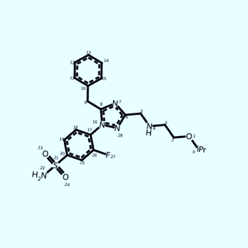 CC(C)OCCNCc1nc(Cc2ccccc2)n(-c2ccc(S(N)(=O)=O)cc2F)n1